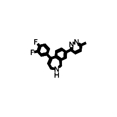 Cc1ccc(-c2ccc3c(c2)CNCC=C3c2ccc(F)c(F)c2)nn1